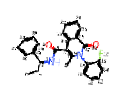 CC[C@H](NC(=O)c1c(C)n(-c2ccccc2F)c(=O)c2ccccc12)c1ccccc1